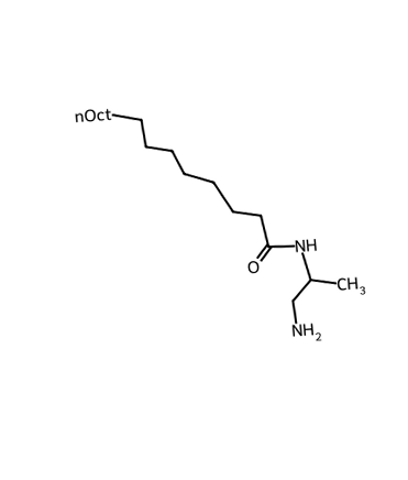 CCCCCCCCCCCCCCCC(=O)NC(C)CN